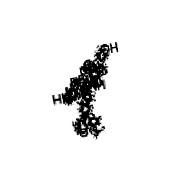 CC(C)Oc1ccccc1[C@@H]1COCCC(C)(C)N1C1CC2(CCN(c3ccc(C(=O)NS(=O)(=O)c4cc5c(c([N+](=O)[O-])c4)N[C@H](C4CCC(C)(O)CC4)CO5)c(N4c5cc6cc[nH]c6nc5O[C@H]5COCC[C@@H]54)c3)[C@@H](C)C2)C1